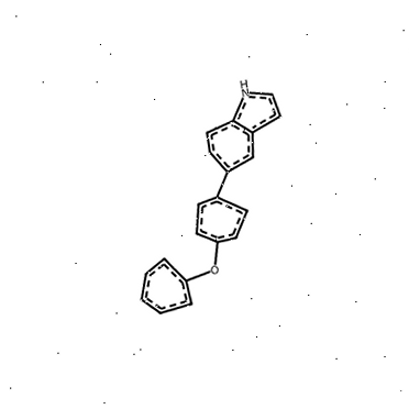 c1ccc(Oc2ccc(-c3ccc4[nH]ccc4c3)cc2)cc1